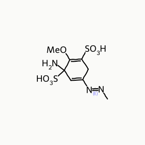 C/N=N/C1=CC(N)(S(=O)(=O)O)C(OC)=C(S(=O)(=O)O)C1